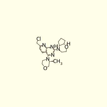 C[C@H]1COCCN1c1nc(N2CCO[C@@H]3CCC[C@@H]32)nc2nc(CCl)ccc12